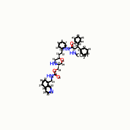 O=C(O)N[C@H](C(=O)Nc1ccccc1CC[C@@H]1CN[C@H](COC(=O)NCc2cccc3ccncc23)CO1)C(c1ccccc1)c1ccccc1